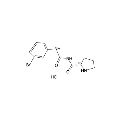 Cl.O=C(NC(=O)[C@@H]1CCCN1)Nc1cccc(Br)c1